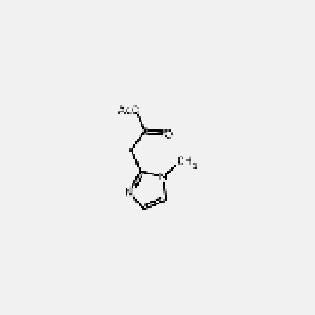 CC(=O)OC(=O)Cc1nccn1C